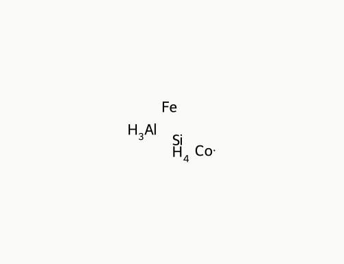 [AlH3].[Co].[Fe].[SiH4]